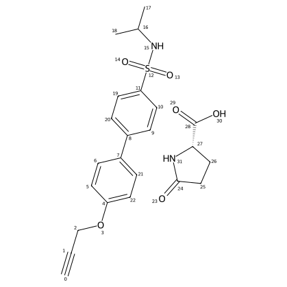 C#CCOc1ccc(-c2ccc(S(=O)(=O)NC(C)C)cc2)cc1.O=C1CC[C@@H](C(=O)O)N1